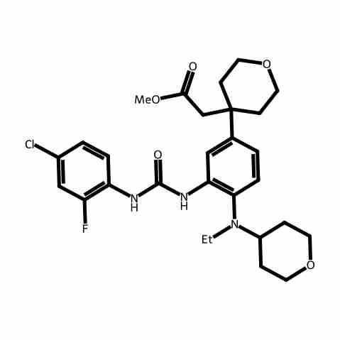 CCN(c1ccc(C2(CC(=O)OC)CCOCC2)cc1NC(=O)Nc1ccc(Cl)cc1F)C1CCOCC1